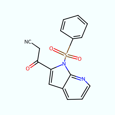 N#CCC(=O)c1cc2cccnc2n1S(=O)(=O)c1ccccc1